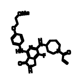 C=CC(=O)N1CCCC(Nc2nc(Nc3ccc(OCCOC)cc3)c3c(c2F)CNC3=O)CC1